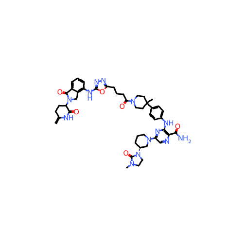 C=C1CCC(N2Cc3c(Nc4nnc(CCCC(=O)N5CCC(C)(c6ccc(Nc7nc(N8CCC[C@@H](N9CCN(C)C9=O)C8)cnc7C(N)=O)cc6)CC5)o4)cccc3C2=O)C(=O)N1